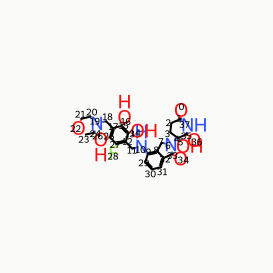 O=C1CCC(O)(N2Cc3c(NCc4c(O)c(O)c(CN5CCOCC5)c(O)c4F)cccc3C2=O)C(=O)N1